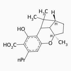 CCCc1cc2c(c(O)c1C(=O)O)C1C3[C@@H](CC[C@@]3(C)O2)C1(C)C